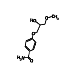 COCC(O)COc1ccc(C(N)=O)cc1